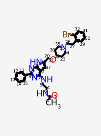 CC(=O)NCCNc1nc(-c2ccccc2)nc2[nH]c(COC3CCN(CCc4ccccc4Br)CC3)cc12